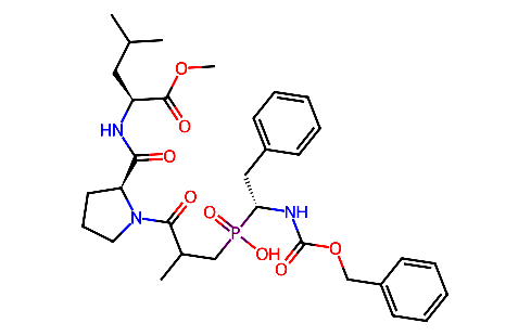 COC(=O)[C@H](CC(C)C)NC(=O)[C@@H]1CCCN1C(=O)C(C)CP(=O)(O)[C@H](Cc1ccccc1)NC(=O)OCc1ccccc1